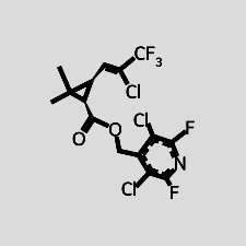 CC1(C)[C@H](C(=O)OCc2c(Cl)c(F)nc(F)c2Cl)[C@@H]1C=C(Cl)C(F)(F)F